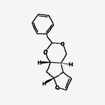 C1=CC2[C@@H](C[C@@H]3OC(c4ccccc4)OC[C@@H]23)O1